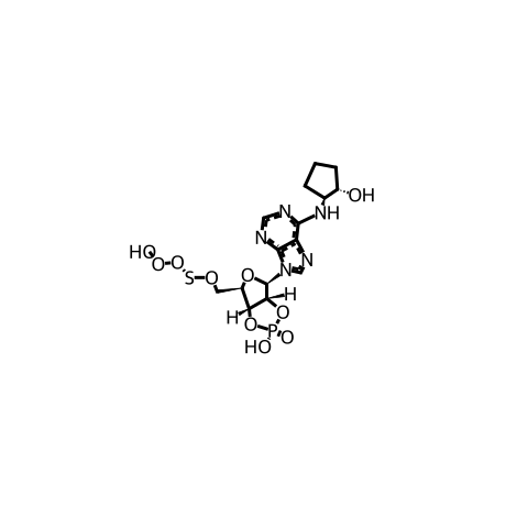 O=P1(O)O[C@@H]2[C@H](O1)[C@@H](COSOOO)O[C@H]2n1cnc2c(N[C@H]3CCC[C@@H]3O)ncnc21